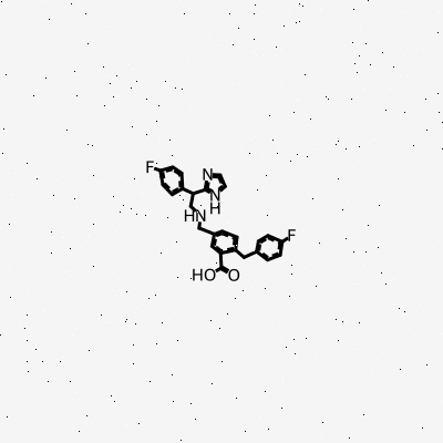 O=C(O)c1cc(CNCC(c2ccc(F)cc2)c2ncc[nH]2)ccc1Cc1ccc(F)cc1